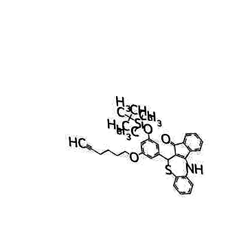 C#CCCCCOc1cc(O[Si](C)(C)C(C)(C)C)cc(C2Sc3ccccc3NC3=C2C(=O)c2ccccc23)c1